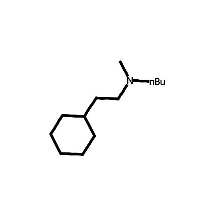 CCCCN(C)CCC1CCCCC1